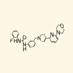 O=C(Nc1cccc(CN2CC=C(c3cccc(N4CCOCC4)n3)CC2)c1)Nc1ccccc1F